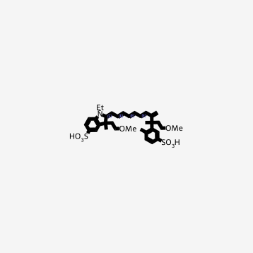 C=C(/C=C/C=C/C=C/C=C1/N(CC)c2ccc(S(=O)(=O)O)cc2C1(C)CCOC)C(C)(CCOC)c1cc(S(=O)(=O)O)ccc1C